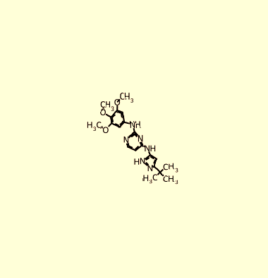 COc1cc(Nc2nccc(Nc3cc(C(C)(C)C)n[nH]3)n2)cc(OC)c1OC